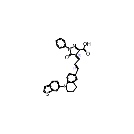 O=C(O)C1=NN(c2ccccc2)C(=O)/C1=C\C=C\c1ccc2c(c1)CCCN2c1ccc2ccsc2c1